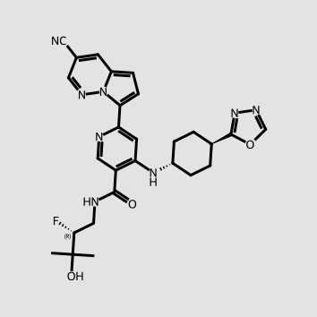 CC(C)(O)[C@H](F)CNC(=O)c1cnc(-c2ccc3cc(C#N)cnn23)cc1N[C@H]1CC[C@H](c2nnco2)CC1